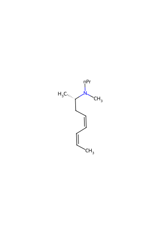 C/C=C\C=C/C[C@H](C)N(C)CCC